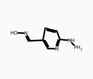 O/N=C/c1ccc(NP)nc1